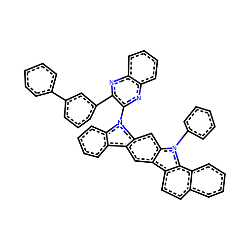 c1ccc(-c2cccc(-c3nc4ccccc4nc3-n3c4ccccc4c4cc5c6ccc7ccccc7c6n(-c6ccccc6)c5cc43)c2)cc1